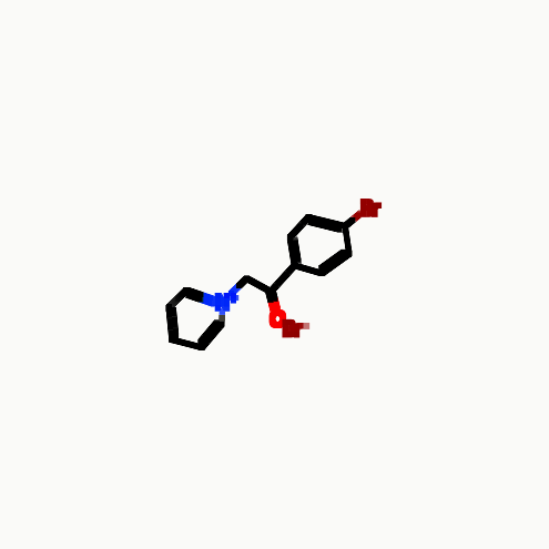 O=C(C[n+]1ccccc1)c1ccc(Br)cc1.[Br-]